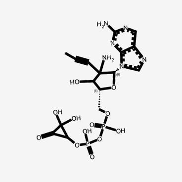 CC#CC1(N)C(O)[C@@H](COP(=O)(O)OP(=O)(O)OC2C(=O)C2(O)O)O[C@H]1n1cnc2cnc(N)nc21